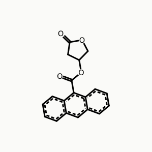 O=C1CC(OC(=O)c2c3ccccc3cc3ccccc23)CO1